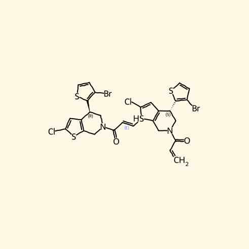 C=CC(=O)N1CC2=C(C=C(Cl)[SH]2/C=C/C(=O)N2Cc3sc(Cl)cc3[C@@H](c3sccc3Br)C2)[C@H](c2sccc2Br)C1